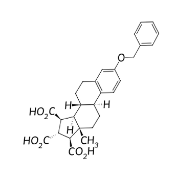 C[C@]12CC[C@@H]3c4ccc(OCc5ccccc5)cc4CC[C@H]3[C@@H]1[C@H](C(=O)O)[C@@H](C(=O)O)[C@@H]2C(=O)O